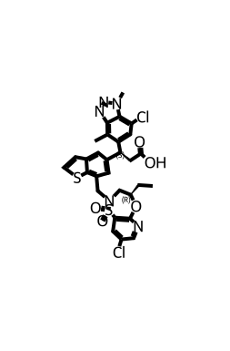 CC[C@@H]1CN(Cc2cc([C@H](CC(=O)O)c3cc(Cl)c4c(nnn4C)c3C)cc3ccsc23)S(=O)(=O)c2cc(Cl)cnc2O1